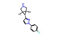 Fc1ccc(-n2ccc([C@H]3[C@@H]4CNC[C@@H]43)n2)cc1